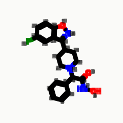 O=C(NO)C(c1ccccc1)N1CCC(c2noc3ccc(F)cc23)CC1